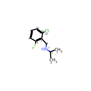 CC(C)NCc1c(F)cccc1Cl